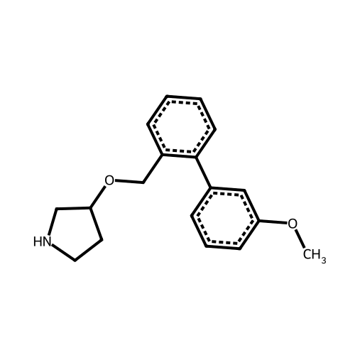 COc1cccc(-c2ccccc2COC2CCNC2)c1